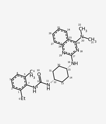 CCc1cccc(C)c1NC(=O)N[C@H]1CC[C@@H](Nc2nc(N(C)C)c3ccccc3n2)CC1